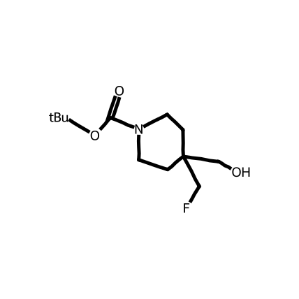 CC(C)(C)OC(=O)N1CCC(CO)(CF)CC1